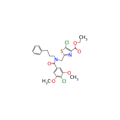 CCOC(=O)c1nc(CN(CCCc2ccccc2)C(=O)c2cc(OC)c(Cl)c(OC)c2)sc1Cl